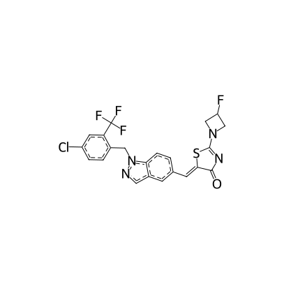 O=C1N=C(N2CC(F)C2)S/C1=C\c1ccc2c(cnn2Cc2ccc(Cl)cc2C(F)(F)F)c1